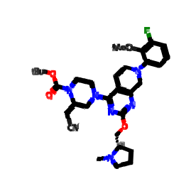 COc1c(F)cccc1N1CCc2c(nc(OC[C@@H]3CCCN3C)nc2N2CCN(C(=O)OC(C)(C)C)C(CC#N)C2)C1